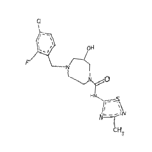 Cc1nsc(NC(=O)N2CCN(Cc3ccc(Cl)cc3F)CC(O)C2)n1